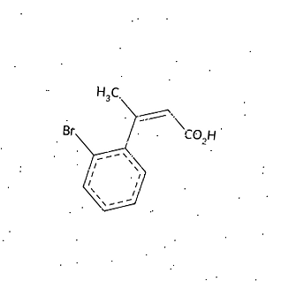 C/C(=C/C(=O)O)c1ccccc1Br